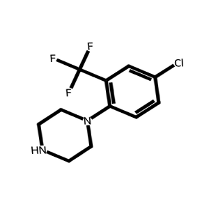 FC(F)(F)c1cc(Cl)ccc1N1CCNCC1